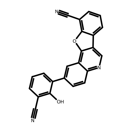 N#Cc1cccc(-c2ccc3ncc4c5cccc(C#N)c5oc4c3c2)c1O